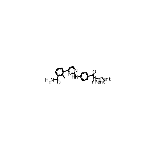 CCCCCN(CCCCC)C(=O)c1ccc(Nc2nccc(-c3cccc(C(N)=O)c3C)n2)cc1